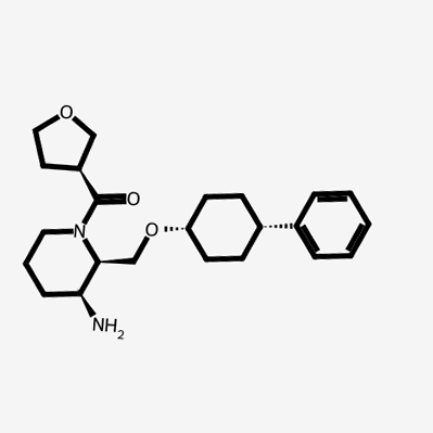 N[C@H]1CCCN(C(=O)[C@H]2CCOC2)[C@H]1CO[C@H]1CC[C@@H](c2ccccc2)CC1